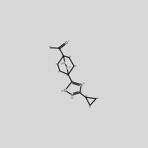 CC(=O)C12CCC(c3nc(C4CC4)no3)(CC1)CC2